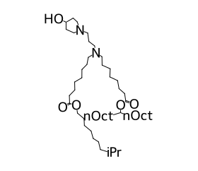 CCCCCCCCC(CCCCCCCC)OC(=O)CCCCCCCN(CCCCCCCC(=O)OCCCCCCCC(C)C)CCCN1CCC(O)CC1